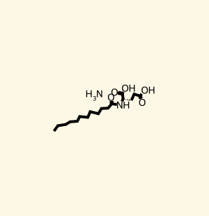 CCCCCCCCCCCC(=O)N[C@@H](CCC(=O)O)C(=O)O.N